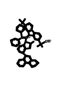 CC1=Cc2c(-c3cc4ccccc4c4ccccc34)cccc2[CH]1[Zr+2]([CH]1c2cc(C(C)(C)C)ccc2-c2ccc(C(C)(C)C)cc21)=[Si](c1ccccc1)c1ccccc1.[Cl-].[Cl-]